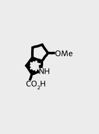 COC1CCc2cc(C(=O)O)[nH]c21